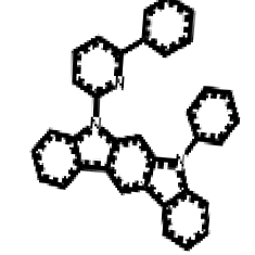 c1ccc(-c2cccc(-n3c4ccccc4c4cc5c6ccccc6n(-c6ccccc6)c5cc43)n2)cc1